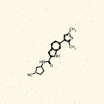 Cc1nn(C)cc1-c1ccc2cc(C(=O)NC3CCN(C#N)C3)[nH]c2c1